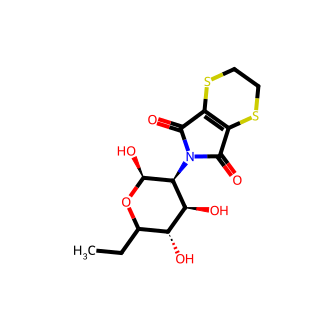 CCC1O[C@@H](O)[C@@H](N2C(=O)C3=C(SCCS3)C2=O)[C@@H](O)[C@@H]1O